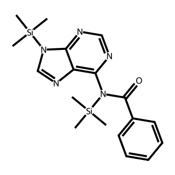 C[Si](C)(C)N(C(=O)c1ccccc1)c1ncnc2c1ncn2[Si](C)(C)C